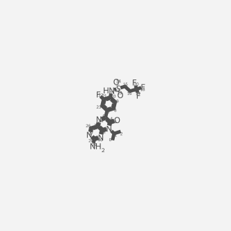 CC(C)n1c(=O)c(-c2ccc(NS(=O)(=O)CCC(F)(F)F)c(F)c2)nc2cnc(N)nc21